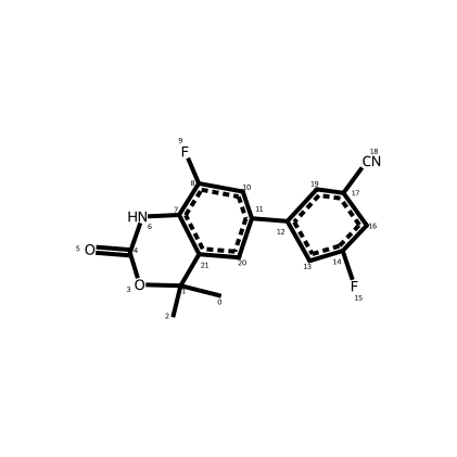 CC1(C)OC(=O)Nc2c(F)cc(-c3cc(F)cc(C#N)c3)cc21